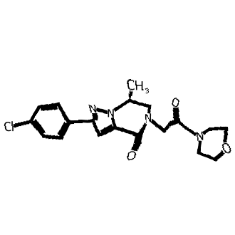 C[C@H]1CN(CC(=O)N2CCOCC2)C(=O)c2cc(-c3ccc(Cl)cc3)nn21